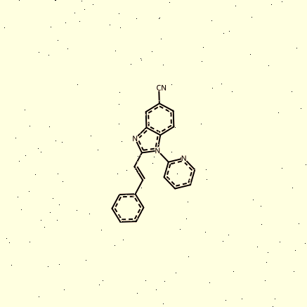 N#Cc1ccc2c(c1)nc(/C=C/c1ccccc1)n2-c1ccccn1